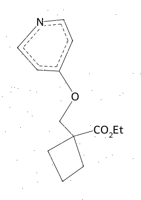 CCOC(=O)C1(COc2ccncc2)CCC1